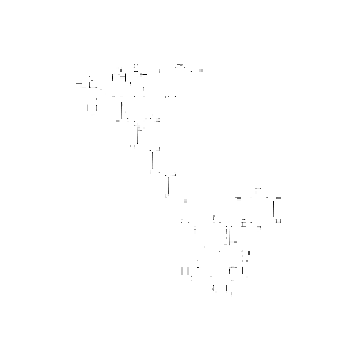 CC(C)(C)c1cc(CCCCCCCc2cc(C3CCCCC3)c(O)c(C(C)(C)C)c2)cc(C2CCCCC2)c1O